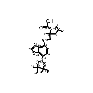 CC(C)CC(C)(COc1ccc(B2OC(C)(C)C(C)(C)O2)c2scnc12)NC(=O)O